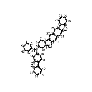 c1ccc(N(c2ccc3c(c2)oc2cc4cc5oc6ccccc6c5cc4cc23)c2ccc3c(c2)sc2ccccc23)cc1